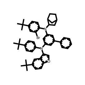 CC(C)(C)c1ccc(N(c2cc(-c3ccccc3)cc(N(c3ccc(C(C)(C)C)cc3Br)C3CC4CCC3C4)c2)c2coc3ccc(C(C)(C)C)cc23)cc1